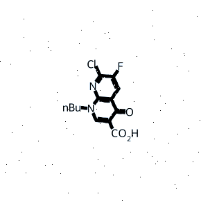 CCCCn1cc(C(=O)O)c(=O)c2cc(F)c(Cl)nc21